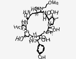 COCCNC1NC(=O)C2[C@@H](O)[C@@H](C)CN2C(=O)C([C@@H](C)O)NC(=O)C([C@H](O)[C@@H](O)c2ccc(O)cc2)NC(=O)C2C[C@@H](O)CN2C(=O)C([C@@H](C)O)NC(=O)C(N)C[C@H]1O